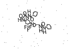 O=C(NCc1ccn(-c2cc3c(cc2C(F)(F)F)[nH]c(=O)c(=O)n3NC(=O)c2ccccc2)c1)Nc1ccccc1